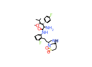 CO[C@H](C(C)C)[C@H](c1ccc(F)cc1)[C@H](N)C(=O)Nc1cccc(F)c1CCC1CN[C@@H]2CCCS(=O)(=O)N1C2